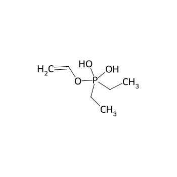 C=COP(O)(O)(CC)CC